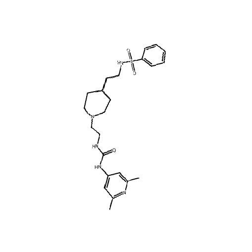 Cc1cc(NC(=O)NCCN2CCC(CCNS(=O)(=O)c3ccccc3)CC2)cc(C)n1